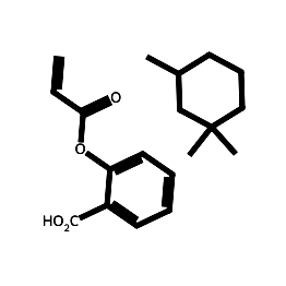 C=CC(=O)Oc1ccccc1C(=O)O.CC1CCCC(C)(C)C1